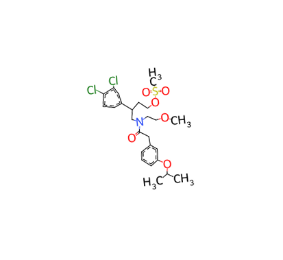 COCCN(CC(CCOS(C)(=O)=O)c1ccc(Cl)c(Cl)c1)C(=O)Cc1cccc(OC(C)C)c1